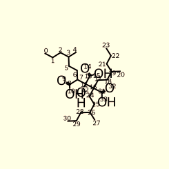 CCCC(C)CCC(C(=O)O)C(O)(C(=O)O)C(CCC(C)CCC)(CCC(C)CCC)C(=O)O